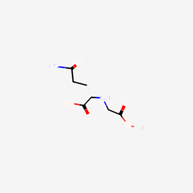 COC(=O)CN[C@@H](CCC(N)=O)C(=O)O